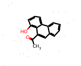 CC(=O)c1cc2ccccc2c2cccc(O)c12